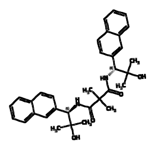 CC(C)(C(=O)N[C@H](c1ccc2ccccc2c1)C(C)(C)O)C(=O)N[C@H](c1ccc2ccccc2c1)C(C)(C)O